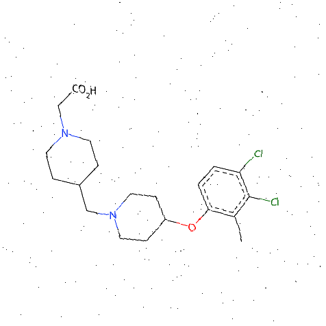 Cc1c(OC2CCN(CC3CCN(CC(=O)O)CC3)CC2)ccc(Cl)c1Cl